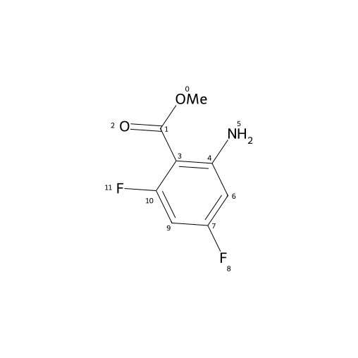 COC(=O)c1c(N)cc(F)cc1F